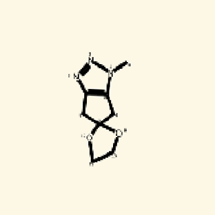 Cn1nnc2c1CC1(C2)OCCO1